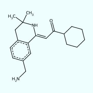 CC1(C)Cc2ccc(CN)cc2C(=CC(=O)C2CCCCC2)N1